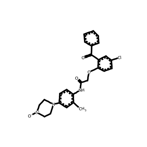 Cc1cc(N2CC[S+]([O-])CC2)ccc1NC(=O)COc1ccc(Cl)cc1C(=O)c1ccccc1